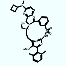 COc1c2nc(nc1-c1c(C)cccc1C)NS(=O)(=O)c1cccc(c1)C(=O)N(Cc1cncc(N(C)C3CCC3)n1)[C@H](CC(C)(C)C)CC2